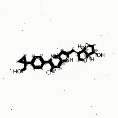 OCC1(c2ccc(-c3nc4cc(C[C@@H]5CO[C@H]6[C@@H]5OC[C@H]6O)[nH]c4cc3Cl)cc2)CC1